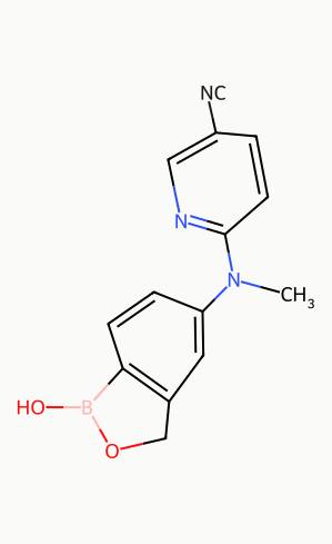 [C-]#[N+]c1ccc(N(C)c2ccc3c(c2)COB3O)nc1